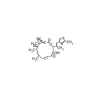 CC(=Cc1csc(C)n1)C1CC2(O)OC2CCCC(C)CC(C)C(=O)C(C)(C)C(C#N)CC(=O)O1